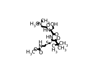 COC(=O)NCSC[C@H](NC(=O)[C@H](CO)NC(=O)CN(C)C)C(=O)C(C)(C)C